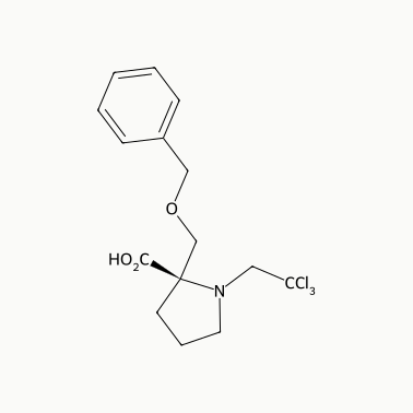 O=C(O)[C@]1(COCc2ccccc2)CCCN1CC(Cl)(Cl)Cl